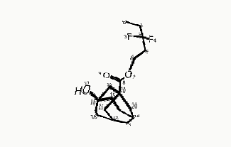 CCC(F)(F)CCOC(=O)C12CC3CC(CC(O)(C3)C1)C2